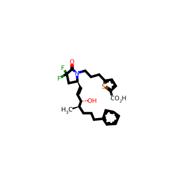 C[C@H](CCCc1ccccc1)[C@@H](O)C=C[C@H]1CC(F)(F)C(=O)N1CCCc1ccc(C(=O)O)s1